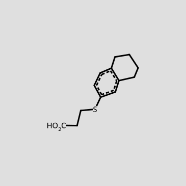 O=C(O)CCSc1ccc2c(c1)CCCC2